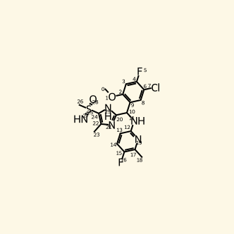 COc1cc(F)c(Cl)cc1C(Nc1ccc(F)c(C)n1)c1nc(C)c(S(C)(=N)=O)[nH]1